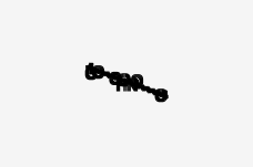 CC(C)OCCCCCCCCC(=O)NCCOCCOCCCCCOCC(=O)C(C)C